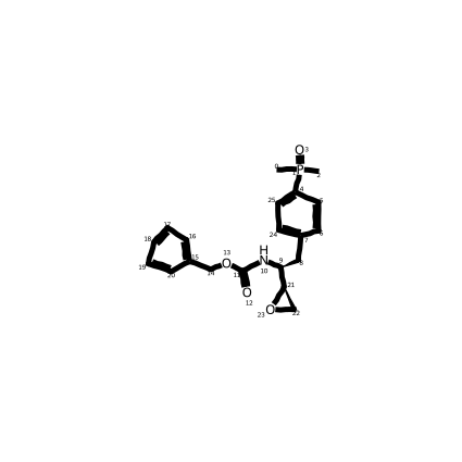 CP(C)(=O)c1ccc(C[C@H](NC(=O)OCc2ccccc2)[C@H]2CO2)cc1